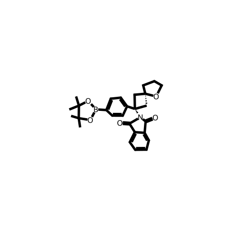 CC1(C)OB(c2ccc([C@]3(N4C(=O)c5ccccc5C4=O)C[C@@]4(CCCO4)C3)cc2)OC1(C)C